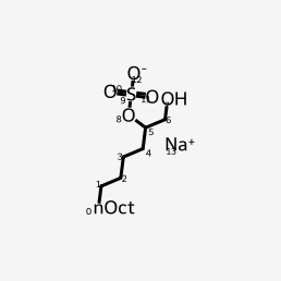 CCCCCCCCCCCCC(CO)OS(=O)(=O)[O-].[Na+]